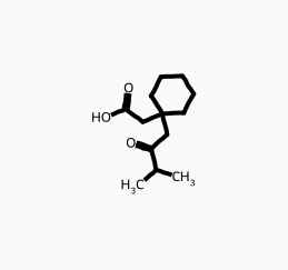 CC(C)C(=O)CC1(CC(=O)O)CCCCC1